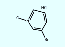 Cl.[O-][n+]1cccc(Br)c1